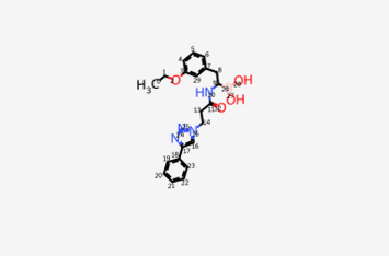 CCOc1cccc(CC(NC(=O)CCn2cc(-c3ccccc3)nn2)B(O)O)c1